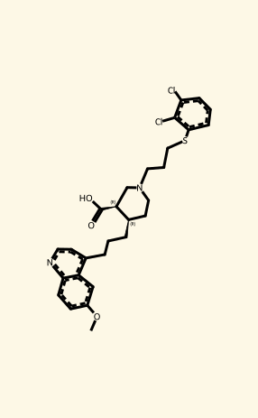 COc1ccc2nccc(CCC[C@@H]3CCN(CCCSc4cccc(Cl)c4Cl)C[C@@H]3C(=O)O)c2c1